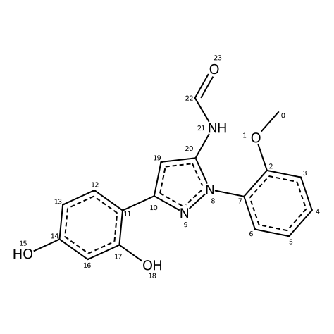 COc1ccccc1-n1nc(-c2ccc(O)cc2O)cc1NC=O